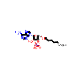 CCOC(=O)CCCCCOC[C@H]1O[C@@H](n2cnc3c(N)ncnc32)[C@H](O)[C@@H]1OP(=O)(O)O